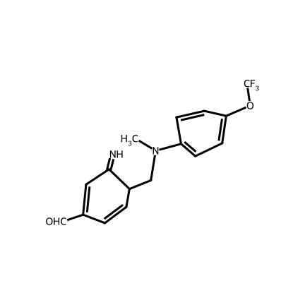 CN(CC1C=CC(C=O)=CC1=N)c1ccc(OC(F)(F)F)cc1